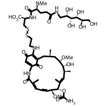 CN[C@@H](CCC(=O)NC[C@H](O)[C@@H](O)[C@H](O)[C@H](O)CO)C(=O)N[C@@H](CSSCCNC1=C2C[C@@H](C)C[C@H](OC)[C@H](O)[C@@H](C)/C=C(\C)[C@H](OC(N)=O)[C@@H](OC)/C=C\C=C(/C)C(=O)NC(=CC1=O)C2=O)C(=O)O